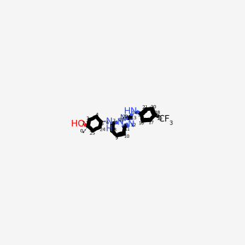 C[C@]1(O)CC[C@H](Nc2cccc3nc(Nc4ccc(C(F)(F)F)cc4)nn23)CC1